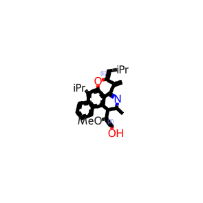 C=C1C2=NC(C)C(/C(=C/O)OC)c3c2c(c(C(C)C)c2ccccc32)O/C1=C/C(C)C